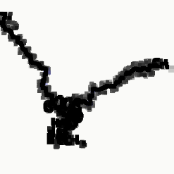 CCCCCCCCCCCCCCCC/C=C\CC/C=C\CCCC(=O)OC[C@H](COP(=O)(O)OCC[N+](C)(C)C)OC(=O)CCC/C=C\CC/C=C\CCCCCCCCCCCCCCCC